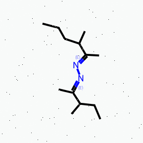 CCCC(C)/C(C)=N/N=C(\C)C(C)CC